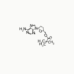 CC(C)(C)C(=O)OC[C@@H]1CC[C@H](n2cnc3c(N)ncnc32)O1